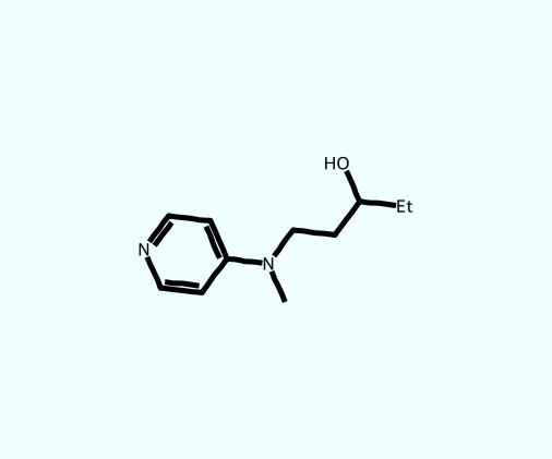 CCC(O)CCN(C)c1ccncc1